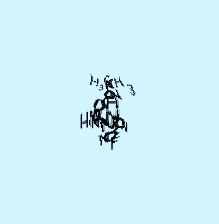 CN(C)Cc1cncc(-c2ccc3[nH]nc(C4=NC5C(c6cncc(F)c6)=CN=CC5N4)c3c2)c1